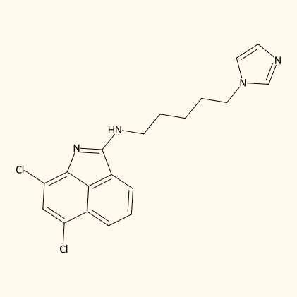 Clc1cc(Cl)c2cccc3c2c1N=C3NCCCCCn1ccnc1